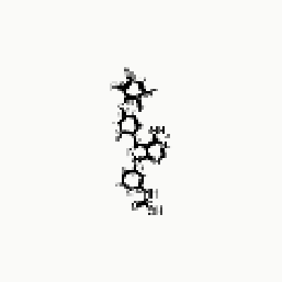 Nc1ncnc2c1c(-c1ccc(Oc3c(F)c(F)cc(F)c3F)cc1F)nn2[C@@H]1CCCC(NC(=O)O)C1